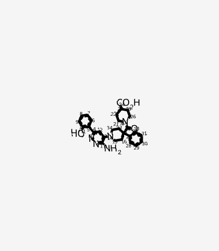 Nc1nnc(-c2ccccc2O)cc1N1CCC(C(=O)N2CCC(C(=O)O)CC2)(c2ccccc2)CC1